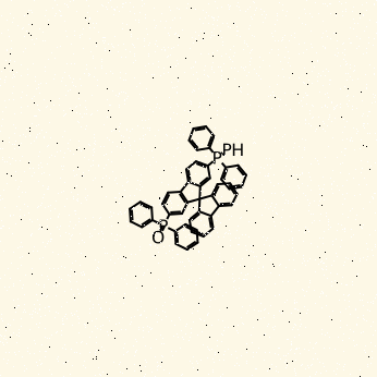 O=P(c1ccccc1)(c1ccccc1)c1ccc2c(c1)C1(c3ccccc3-c3ccccc31)c1cc(P(=P)(c3ccccc3)c3ccccc3)ccc1-2